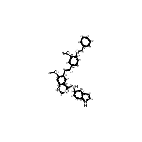 COc1cc2ncnc(Nc3ccc4[nH]ccc4c3)c2cc1C=Cc1ccc(OCc2ccccc2)c(OC)c1